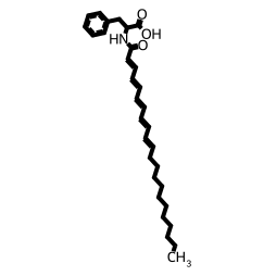 CCCCCCCCCCCC=CC=CC=CC=CC=CC(=O)NC(Cc1ccccc1)C(=O)O